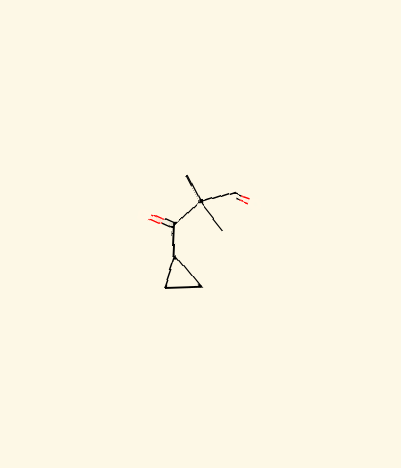 CC(C)(C=O)C(=O)C1CC1